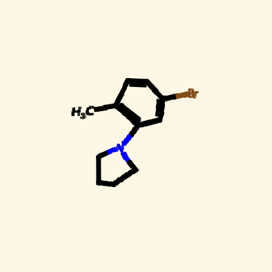 Cc1ccc(Br)cc1N1CCCC1